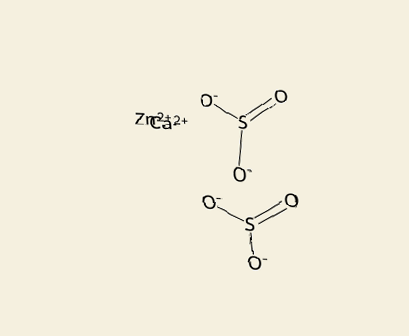 O=S([O-])[O-].O=S([O-])[O-].[Ca+2].[Zn+2]